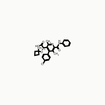 Cc1nc(C(=O)Nc2ccccc2)c(C)c(-c2ccc(Cl)cc2)c1[C@H](OC1(C)CCC1)C(=O)O